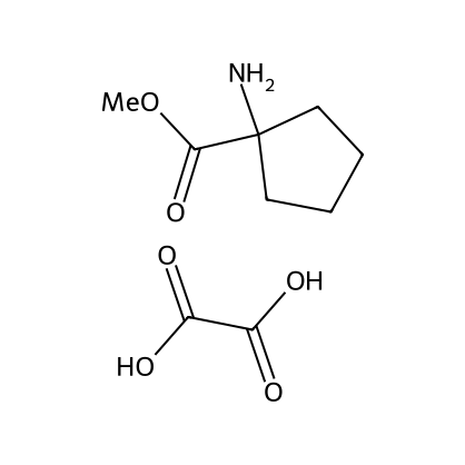 COC(=O)C1(N)CCCC1.O=C(O)C(=O)O